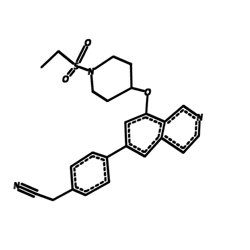 CCS(=O)(=O)N1CCC(Oc2cc(-c3ccc(CC#N)cc3)cc3ccncc23)CC1